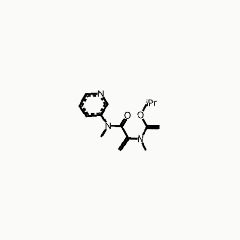 C=C(OC(C)C)N(C)C(=C)C(=O)N(C)c1cccnc1